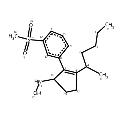 CCCCC(C)C1=C(c2cccc(S(C)(=O)=O)c2)C(NO)CC1